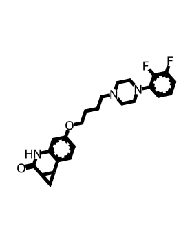 O=C1Nc2cc(OCCCCN3CCN(c4cccc(F)c4F)CC3)ccc2C2CC12